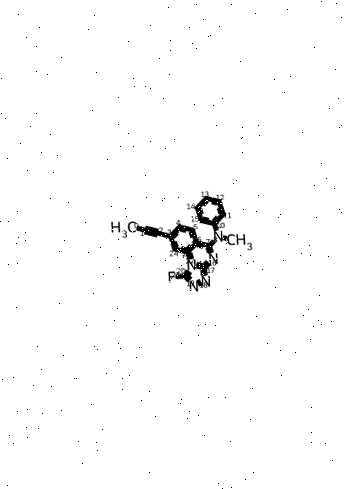 CC#Cc1ccc2c(N(C)c3ccccc3)nc3nnc(F)n3c2c1